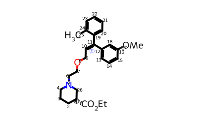 CCOC(=O)[C@@H]1CCCN(CCOC/C=C(\c2cccc(OC)c2)c2ccccc2C)C1